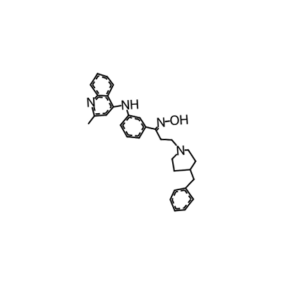 Cc1cc(Nc2cccc(C(CCN3CCC(Cc4ccccc4)CC3)=NO)c2)c2ccccc2n1